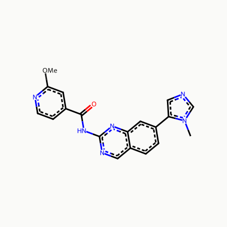 COc1cc(C(=O)Nc2ncc3ccc(-c4cncn4C)cc3n2)ccn1